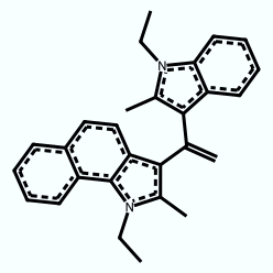 C=C(c1c(C)n(CC)c2ccccc12)c1c(C)n(CC)c2c1ccc1ccccc12